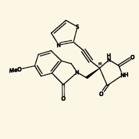 COc1ccc2c(c1)C(=O)N(C[C@@]1(C#Cc3nccs3)NC(=O)NC1=O)C2